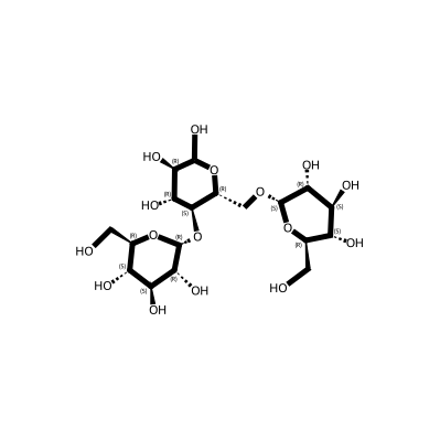 OC[C@H]1O[C@H](OC[C@H]2OC(O)[C@H](O)[C@@H](O)[C@@H]2O[C@H]2O[C@H](CO)[C@@H](O)[C@H](O)[C@H]2O)[C@H](O)[C@@H](O)[C@@H]1O